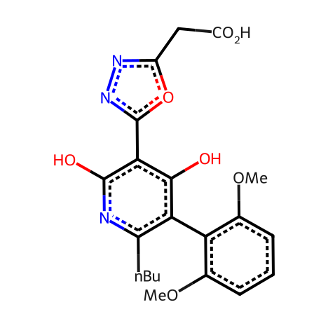 CCCCc1nc(O)c(-c2nnc(CC(=O)O)o2)c(O)c1-c1c(OC)cccc1OC